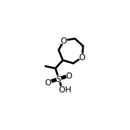 CC(C1COCCOC1)S(=O)(=O)O